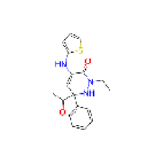 CCN1NC(C(C)=O)(c2ccccc2)C=C(Nc2cccs2)C1=O